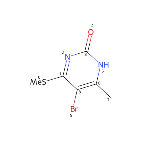 CSc1nc(=O)[nH]c(C)c1Br